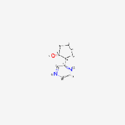 O=C1CCCCC1c1cnccn1